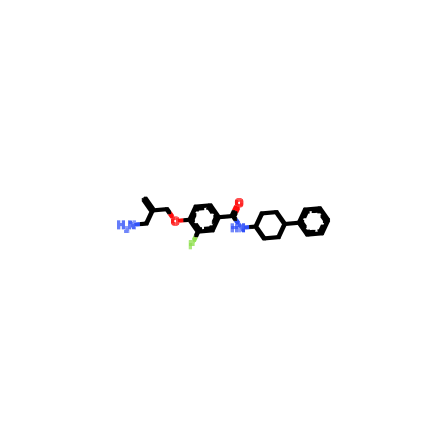 C=C(CN)COc1ccc(C(=O)NC2CCC(c3ccccc3)CC2)cc1F